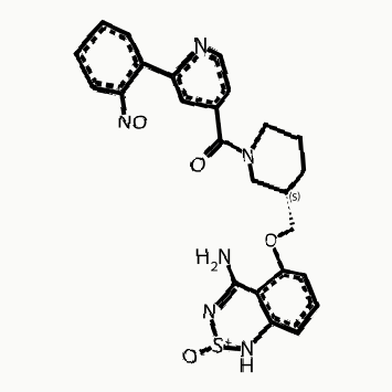 NC1=N[S+]([O-])Nc2cccc(OC[C@H]3CCCN(C(=O)c4ccnc(-c5ccccc5N=O)c4)C3)c21